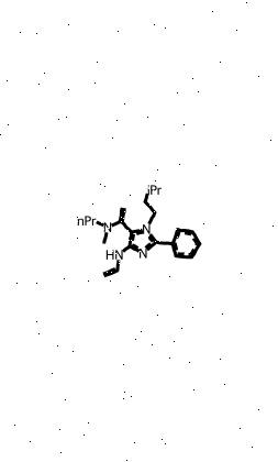 C=CNc1nc(-c2ccccc2)n(CCC(C)C)c1C(=C)N(C)CCC